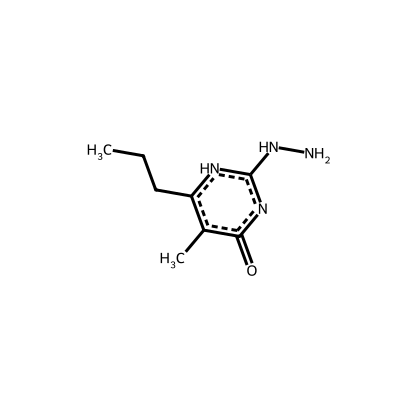 CCCc1[nH]c(NN)nc(=O)c1C